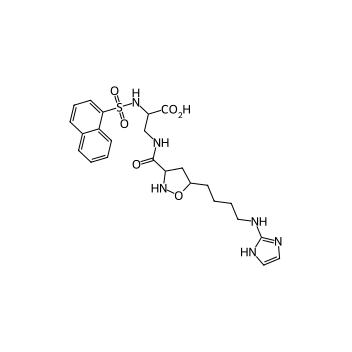 O=C(O)C(CNC(=O)C1CC(CCCCNc2ncc[nH]2)ON1)NS(=O)(=O)c1cccc2ccccc12